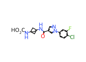 O=C(O)NC12CC(NC(=O)c3cnn(-c4ccc(Cl)c(F)c4)c3)(C1)C2